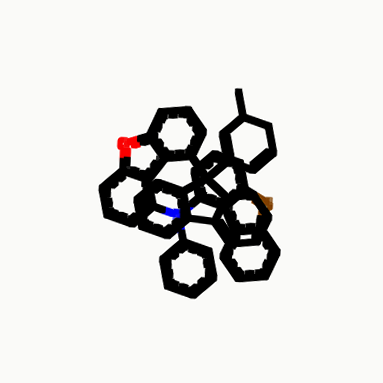 CC1C=C(C2(c3cccc4oc5cccc(N(c6ccccc6)c6cccc7sc8ccccc8c67)c5c34)c3ccccc3C3=CC=CCC32)C=CC1